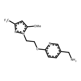 COc1cc(C(F)(F)F)nn1CCOc1ccc(CN)cn1